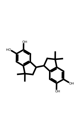 CC1(C)CC(C2CC(C)(C)c3cc(O)c(O)cc32)c2cc(O)c(O)cc21